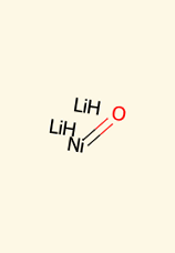 [LiH].[LiH].[O]=[Ni]